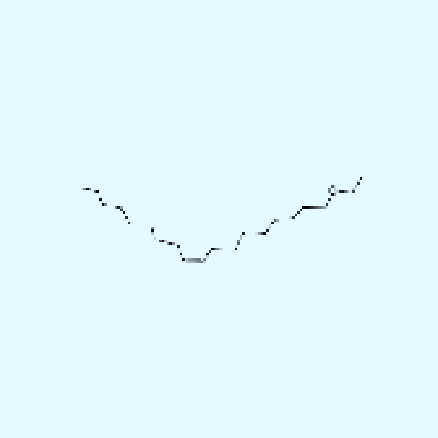 C[CH]OCCCCCCCC/C=C\CCCCCCCC